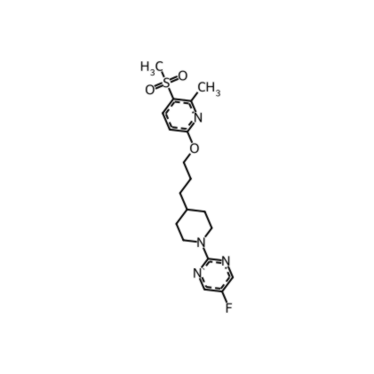 Cc1nc(OCCCC2CCN(c3ncc(F)cn3)CC2)ccc1S(C)(=O)=O